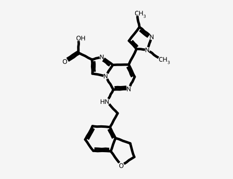 Cc1cc(-c2cnc(NCc3cccc4c3CCO4)n3cc(C(=O)O)nc23)n(C)n1